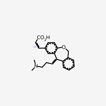 CN(C)CCC=C1c2ccccc2COc2ccc(/C=C\C(=O)O)cc21